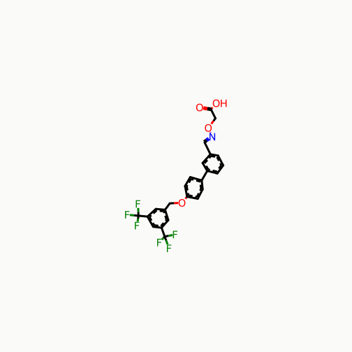 O=C(O)CON=Cc1cccc(-c2ccc(OCc3cc(C(F)(F)F)cc(C(F)(F)F)c3)cc2)c1